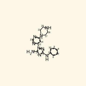 Nc1nc(Nc2ccccc2)nn1-c1cc(N2CCNCC2)ncn1